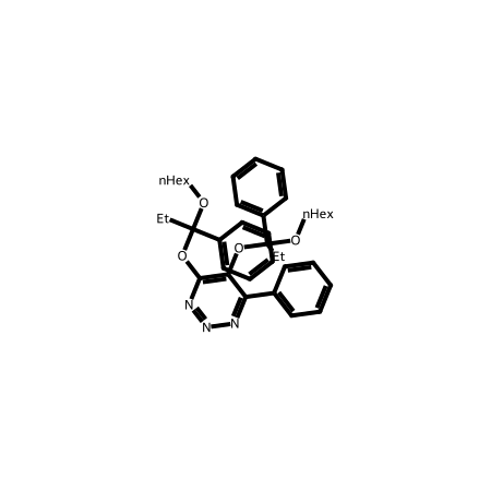 CCCCCCOC(CC)(Oc1nnnc(-c2ccccc2)c1OC(CC)(OCCCCCC)c1ccccc1)c1ccccc1